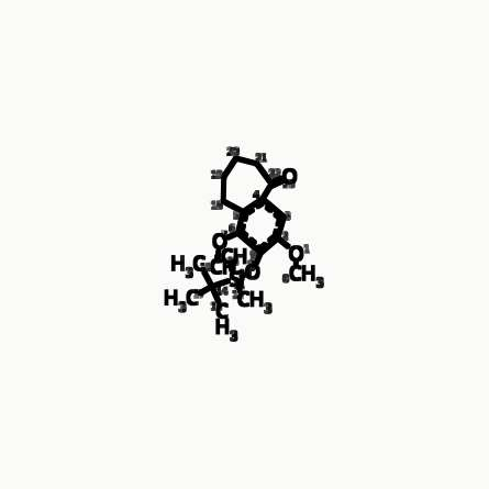 COc1cc2c(c(OC)c1O[Si](C)(C)C(C)(C)C)CCCCC2=O